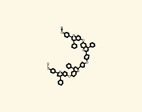 N#COc1ccc(-c2cc(-c3ccccc3)c3cc(Oc4ccc5nc(-c6ccc(Oc7ccc(-c8cc(-c9ccccc9)c9cc(Oc%10ccc%11nc(-c%12ccc(N=C=O)cc%12)cc(-c%12ccccc%12)c%11c%10)ccc9n8)cc7)cc6)cc(-c6ccccc6)c5c4)ccc3n2)cc1